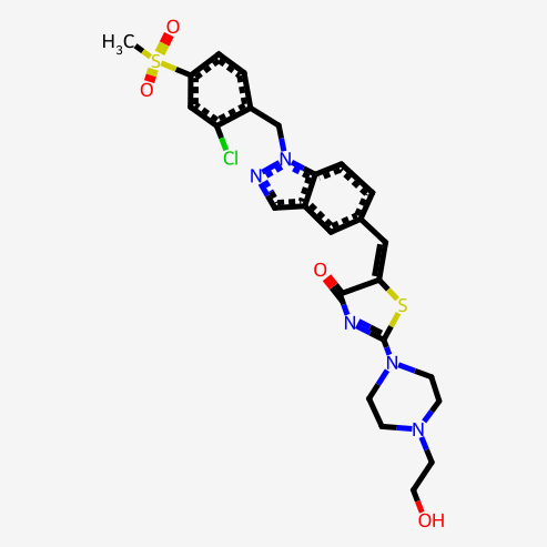 CS(=O)(=O)c1ccc(Cn2ncc3cc(C=C4SC(N5CCN(CCO)CC5)=NC4=O)ccc32)c(Cl)c1